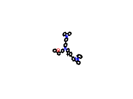 CC1(C)c2cc(-c3ccc4c5ccccc5n(-c5ccccc5)c4c3)ccc2-c2ccc(N(c3ccc(-c4ccc(-n5c6ccccc6c6ccccc65)cc4)cc3)c3ccc(-c4cccc5c4oc4ccccc45)cc3)cc21